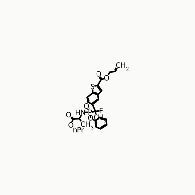 C=CCOC(=O)c1cc2cc(C(C)(F)P(=O)(NC(C)C(=O)OCCC)Oc3ccccc3)ccc2s1